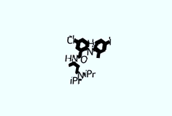 Cc1cc(I)ccc1Nc1ccc(Cl)cc1C(=O)NC(C)CCN(C(C)C)C(C)C